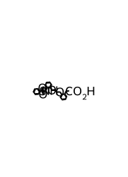 O=C(O)Cc1ccccc1OCCOc1ccccc1NS(=O)(=O)c1ccccc1